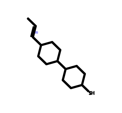 C/C=C/C1CCC(C2CCC(S)CC2)CC1